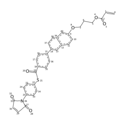 C=CC(=O)OCCCOc1ccc2cc(-c3ccc(C(=O)Sc4ccc(N5C(=O)C=CC5=O)cc4)cc3)ccc2c1